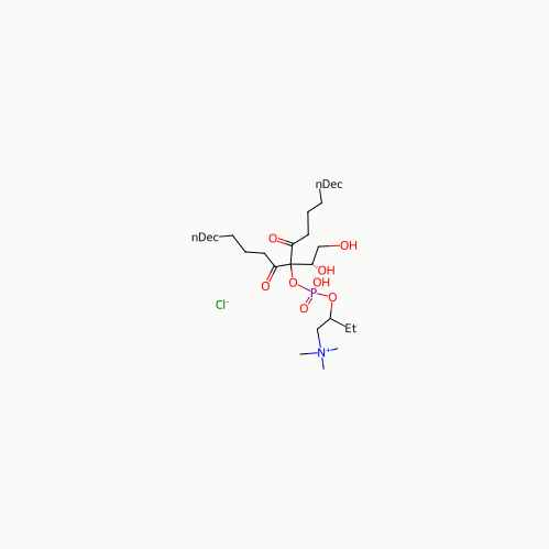 CCCCCCCCCCCCCC(=O)C(OP(=O)(O)OC(CC)C[N+](C)(C)C)(C(=O)CCCCCCCCCCCCC)[C@@H](O)CO.[Cl-]